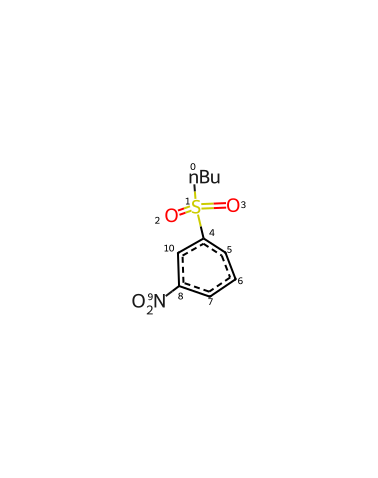 CCCCS(=O)(=O)c1cccc([N+](=O)[O-])c1